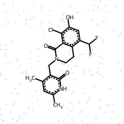 Cc1cc(C)c(CN2CCc3c(C(F)F)cc(O)c(Cl)c3C2=O)c(=O)[nH]1